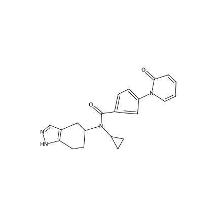 O=C(c1ccc(-n2ccccc2=O)cc1)N(C1CC1)C1CCc2[nH]ncc2C1